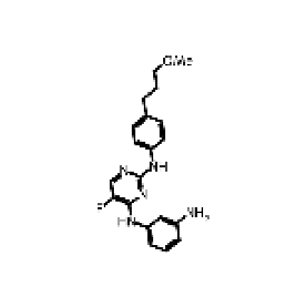 COCCCc1ccc(Nc2ncc(F)c(Nc3cccc(N)c3)n2)cc1